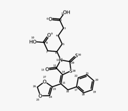 O=C(O)CCCC(CC(=O)O)N1C(=O)C(=C(Cc2ccccc2)C2=COCO2)SC1=S